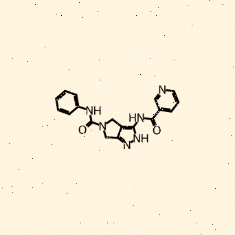 O=C(Nc1[nH]nc2c1CN(C(=O)Nc1ccccc1)C2)c1cccnc1